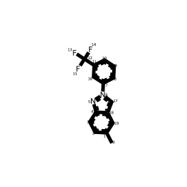 Cc1ccc2nn(-c3cccc(C(F)(F)F)c3)cc2c1